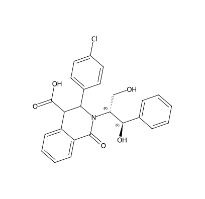 O=C(O)C1c2ccccc2C(=O)N([C@H](CO)[C@H](O)c2ccccc2)C1c1ccc(Cl)cc1